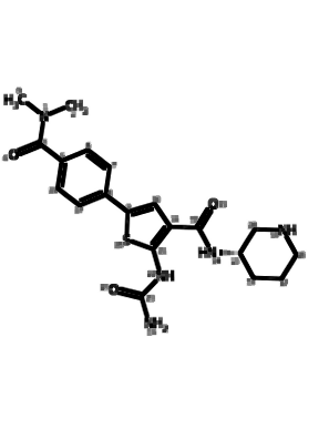 CN(C)C(=O)c1ccc(-c2cc(C(=O)N[C@H]3CCCNC3)c(NC(N)=O)s2)cc1